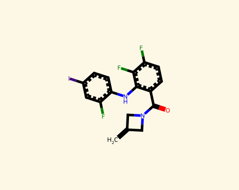 C=C1CN(C(=O)c2ccc(F)c(F)c2Nc2ccc(I)cc2F)C1